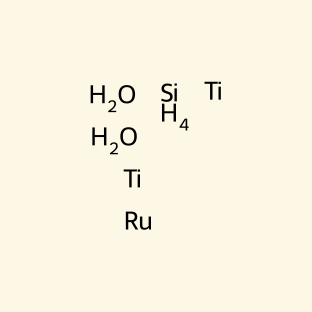 O.O.[Ru].[SiH4].[Ti].[Ti]